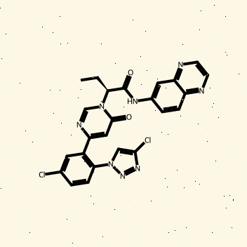 CC[C@@H](C(=O)Nc1ccc2nccnc2c1)n1cnc(-c2cc(Cl)ccc2-n2cc(Cl)nn2)cc1=O